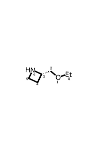 CCOC[C@@H]1CCN1